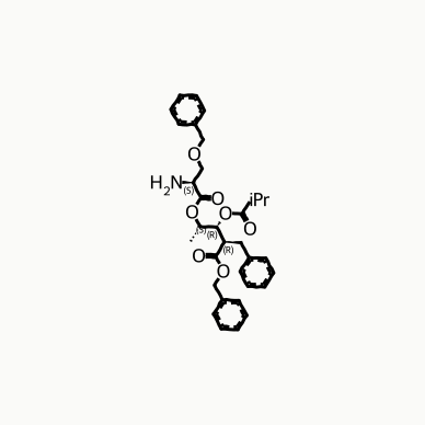 CC(C)C(=O)O[C@@H]([C@H](C)OC(=O)[C@@H](N)COCc1ccccc1)[C@@H](Cc1ccccc1)C(=O)OCc1ccccc1